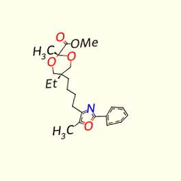 CC[C@]1(CCCCc2nc(-c3ccccc3)oc2C)CO[C@@](C)(C(=O)OC)OC1